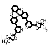 CC1(C)COC(c2cncc(-c3ccc4c(c3)B3c5cc(-c6cncc(C7=NC(C)(C)CO7)c6)ccc5Oc5cccc(c53)O4)c2)=N1